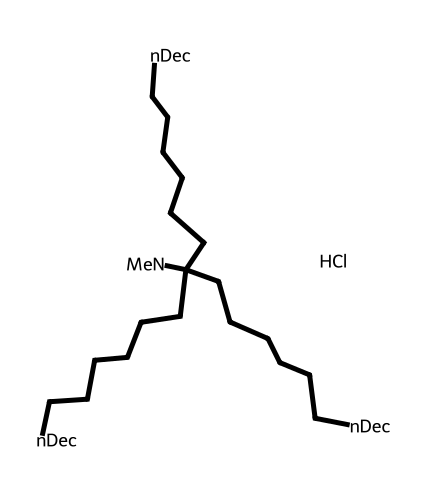 CCCCCCCCCCCCCCCCC(CCCCCCCCCCCCCCCC)(CCCCCCCCCCCCCCCC)NC.Cl